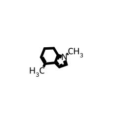 CC1=CCCc2c1ccn2C